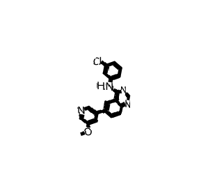 COc1cncc(-c2ccc3ncnc(Nc4cccc(Cl)c4)c3c2)c1